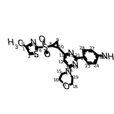 Cc1csc(S(=O)(=O)C2CC2c2cc(N3CCOCC3)nc(-c3ccc(N)cc3)n2)n1